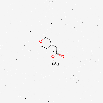 CCCCOC(=O)CC1CCOCC1